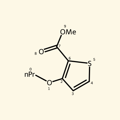 CCCOc1ccsc1C(=O)OC